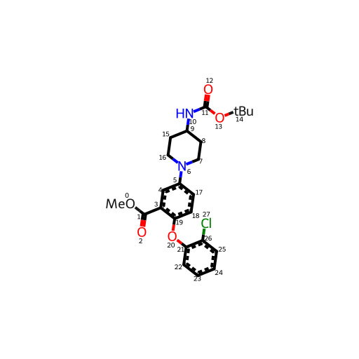 COC(=O)c1cc(N2CCC(NC(=O)OC(C)(C)C)CC2)ccc1Oc1ccccc1Cl